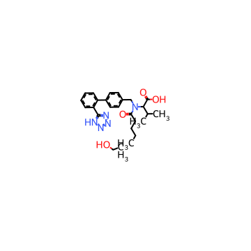 CCCCC(=O)N(Cc1ccc(-c2ccccc2-c2nnn[nH]2)cc1)C(C(=O)O)C(C)C.CCO